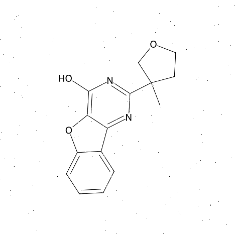 CC1(c2nc(O)c3oc4ccccc4c3n2)CCOC1